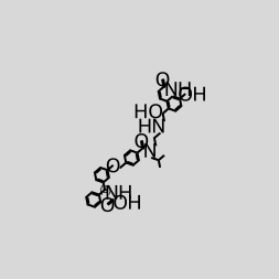 CC(C)CN(CCCNCC(O)c1ccc(O)c2[nH]c(=O)ccc12)C(=O)c1ccc(COc2cccc([C@@H](NC(=O)O)c3ccccc3)c2)cc1